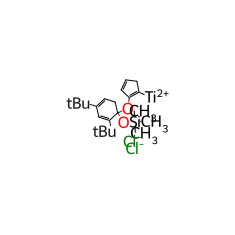 CC(C)(C)C1=CCC(OC2=[C]([Ti+2])CC=C2)(O[Si](C)(C)C)C(C(C)(C)C)=C1.[Cl-].[Cl-]